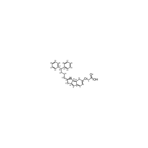 O=C(O)COC1=CC=C2C=c3sc(SCCC(c4ccccc4)c4ccccc4)nc3=C2C1